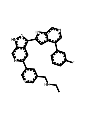 CCNCc1cncc(-c2cc3c(-c4cc5c(-c6cccc(F)c6)cncc5[nH]4)n[nH]c3cn2)c1